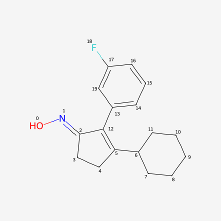 O/N=C1\CCC(C2CCCCC2)=C1c1cccc(F)c1